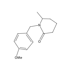 COc1ccc(CN2C(=O)CCCC2C)cc1